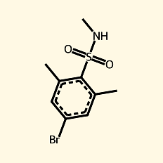 CNS(=O)(=O)c1c(C)cc(Br)cc1C